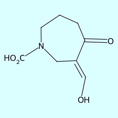 O=C1CCCN(C(=O)O)CC1=CO